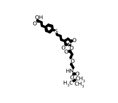 CC(C)(C)OC(=O)NCCOCCC(=O)ON1C(=O)CC(CCCSc2ccc(CCC(=O)O)cc2)C1=O